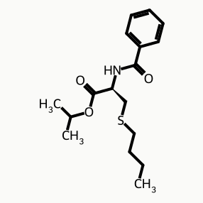 CCCCSC[C@H](NC(=O)c1ccccc1)C(=O)OC(C)C